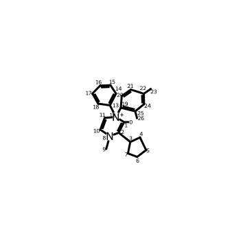 CC1=C(C2CCCC2)N(C)C=C[N+]1(c1ccccc1)c1ccc(C)cc1C